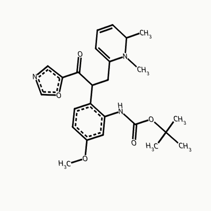 COc1ccc(C(CC2=CC=CC(C)N2C)C(=O)c2cnco2)c(NC(=O)OC(C)(C)C)c1